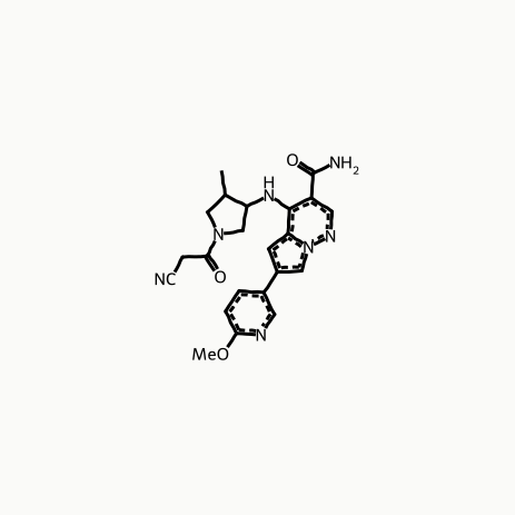 COc1ccc(-c2cc3c(NC4CN(C(=O)CC#N)CC4C)c(C(N)=O)cnn3c2)cn1